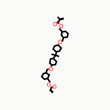 C=CC(=O)OCC1CCCC(COC2CCC(C(C)(C)C3CCC(OCC4CCCC(COC(=O)C(=C)C)C4)CC3)CC2)C1